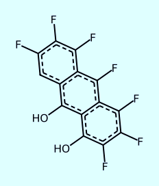 Oc1c(F)c(F)c(F)c2c(F)c3c(F)c(F)c(F)cc3c(O)c12